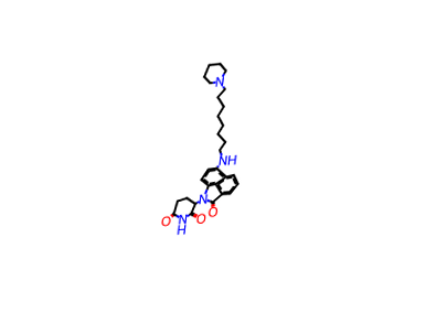 O=C1CCC(N2C(=O)c3cccc4c(NCCCCCCCCN5CCCCC5)ccc2c34)C(=O)N1